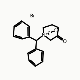 O=C1C[N+]2(C(c3ccccc3)c3ccccc3)CCC1CC2.[Br-]